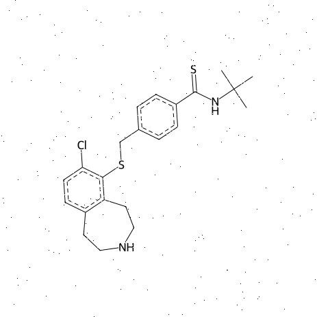 CC(C)(C)NC(=S)c1ccc(CSc2c(Cl)ccc3c2CCNCC3)cc1